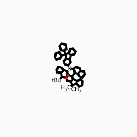 CC(C)(C)c1ccc(N(c2ccc3c(c2)-c2ccccc2C3(c2ccccc2)c2ccccc2)c2ccc3ccccc3c2-c2cccc3c2-c2ccccc2C3(C)C)c2ccccc12